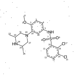 COc1ccc(NS(=O)(=O)c2cccc(Cl)c2Cl)cc1N1CC(C)NC(C)C1